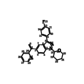 C=C(c1ccc2c(c1)c(-c1ccc(F)cc1)nn2C1CCCCO1)c1ccccn1